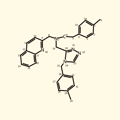 Cc1ccc(CCN(Cc2ccc3ccccc3n2)Cc2nncn2Cc2ccc(C)cc2)cc1